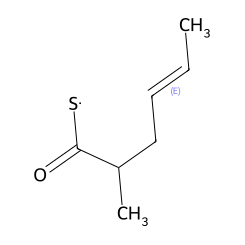 C/C=C/CC(C)C(=O)[S]